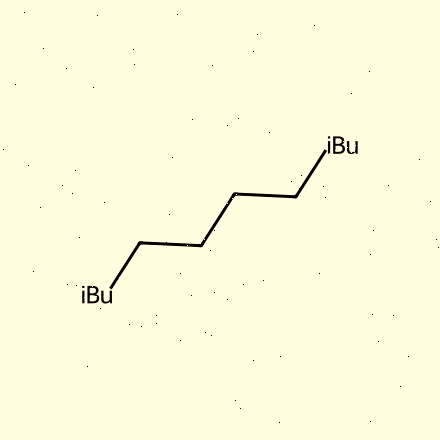 [CH2]CC(C)CCCCC(C)CC